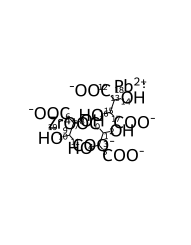 O=C([O-])C(O)C(O)C(=O)[O-].O=C([O-])C(O)C(O)C(=O)[O-].O=C([O-])C(O)C(O)C(=O)[O-].[Pb+2].[Zr+4]